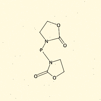 O=C1OCCN1[P]N1CCOC1=O